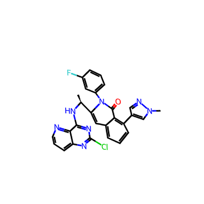 C[C@H](Nc1nc(Cl)nc2cccnc12)c1cc2cccc(-c3cnn(C)c3)c2c(=O)n1-c1cccc(F)c1